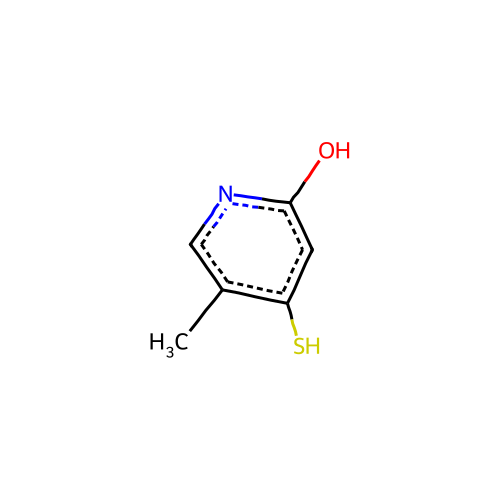 Cc1cnc(O)cc1S